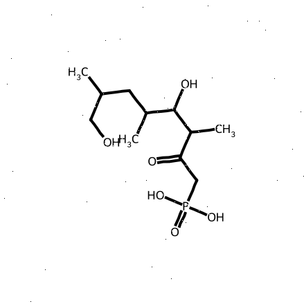 CC(CO)CC(C)C(O)C(C)C(=O)CP(=O)(O)O